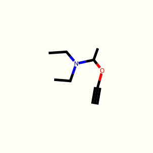 C#COC(C)N(CC)CC